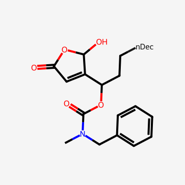 CCCCCCCCCCCCC(OC(=O)N(C)Cc1ccccc1)C1=CC(=O)OC1O